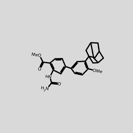 COC(=O)c1ccc(-c2ccc(OC)c(C34CC5CC(CC(C5)C3)C4)c2)cc1NC(N)=O